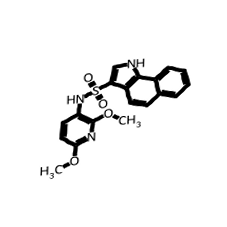 COc1ccc(NS(=O)(=O)c2c[nH]c3c2ccc2ccccc23)c(OC)n1